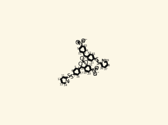 O=C(OC(c1ccc(SSc2ccccn2)cc1)c1ccc([N+](=O)[O-])cc1)OC(c1ccc(SSc2ccccn2)cc1)c1ccc([N+](=O)[O-])cc1